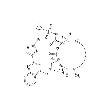 CC(C)c1csc(-c2nc(O[C@@H]3C[C@H]4C(=O)N[C@]5(C(=O)NS(=O)(=O)C6CC6)C[C@H]5/C=C\CCCCN(C)C(=O)[C@@H]4C3)c3ccccc3n2)n1